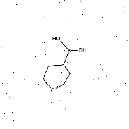 OB(O)C1CCOCC1